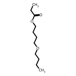 CCCCOCCCCOC(=O)CC